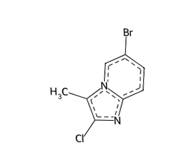 Cc1c(Cl)nc2ccc(Br)cn12